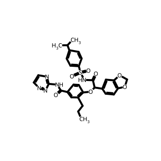 CCCc1cc(C(=O)Nc2nccnn2)ccc1OC(C(=O)NS(=O)(=O)c1ccc(C(C)C)cc1)c1ccc2c(c1)OCO2